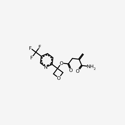 C=C(CC(=O)OC1(c2ccc(C(F)(F)F)cn2)COC1)C(N)=O